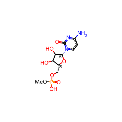 COP(=O)(O)OC[C@H]1O[C@@H](n2ccc(N)nc2=O)C(O)C1O